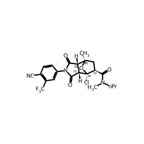 CCCN(C)C(=O)[C@@H]1C[C@@]2(C)O[C@]1(Cl)[C@@H]1C(=O)N(c3ccc(C#N)c(C(F)(F)F)c3)C(=O)[C@@H]12